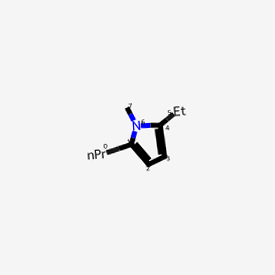 CCCc1ccc(CC)n1C